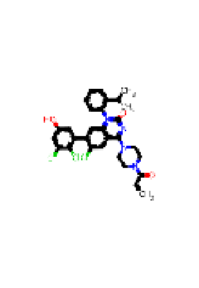 C=CC(=O)N1CCN(c2nc(=O)n(-c3ccccc3C(C)C)c3cc(-c4cc(O)cc(Cl)c4Cl)c(Cl)cc23)CC1